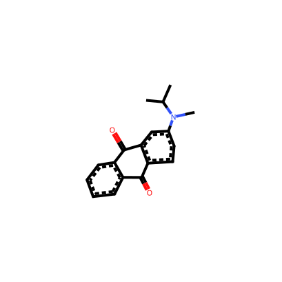 CC(C)N(C)c1ccc2c(c1)C(=O)c1ccccc1C2=O